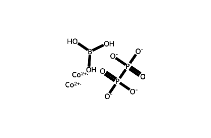 O=P([O-])([O-])P(=O)([O-])[O-].OB(O)O.[Co+2].[Co+2]